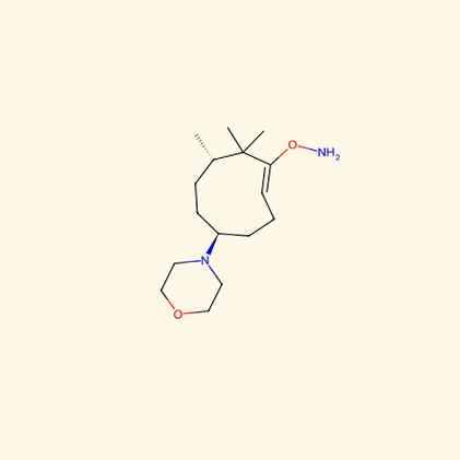 C[C@H]1CC[C@H](N2CCOCC2)CC/C=C(\ON)C1(C)C